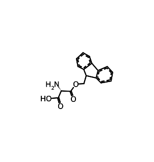 N[C@@H](C(=O)O)C(=O)OCC1c2ccccc2-c2ccccc21